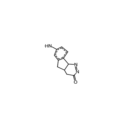 [NH]c1ccc2c(c1)CC1CC(=O)N=NC21